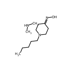 CCCCCN1CCC(=NO)CC1.CNC